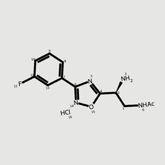 CC(=O)NC[C@H](N)c1nc(-c2cccc(F)c2)no1.Cl